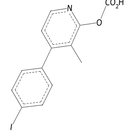 Cc1c(-c2ccc(I)cc2)ccnc1OC(=O)O